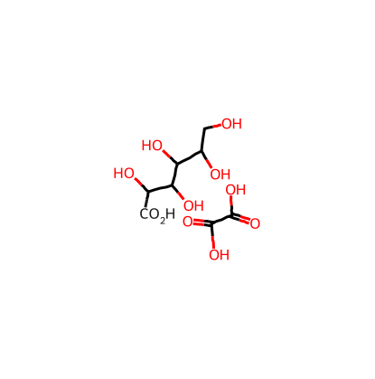 O=C(O)C(=O)O.O=C(O)C(O)C(O)C(O)C(O)CO